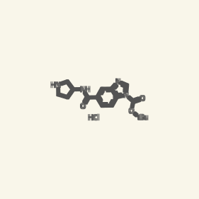 CC(C)(C)OC(=O)n1cnc2cc(C(=O)NC3CCNC3)ccc21.Cl